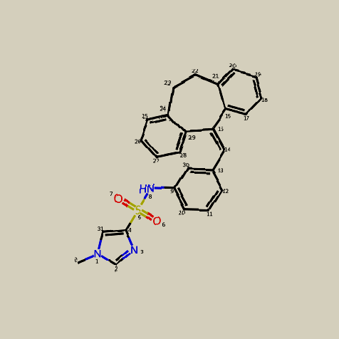 Cn1cnc(S(=O)(=O)Nc2cccc(C=C3c4ccccc4CCc4ccccc43)c2)c1